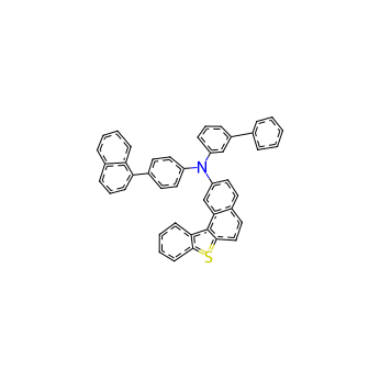 c1ccc(-c2cccc(N(c3ccc(-c4cccc5ccccc45)cc3)c3ccc4ccc5sc6ccccc6c5c4c3)c2)cc1